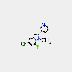 Cn1c(-c2cccnc2)cc2cc(Cl)cc(F)c21